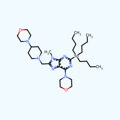 CCC[CH2][Sn]([CH2]CCC)([CH2]CCC)[c]1nc(N2CCOCC2)c2nc(CN3CCC(N4CCOCC4)CC3)n(C)c2n1